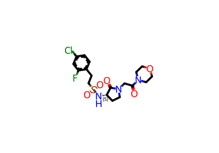 O=C(CN1CC[C@H](NS(=O)(=O)CCc2ccc(Cl)cc2F)C1=O)N1CCOCC1